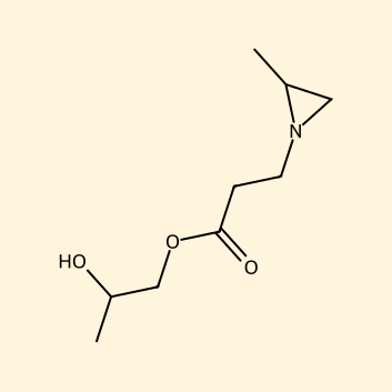 CC(O)COC(=O)CCN1CC1C